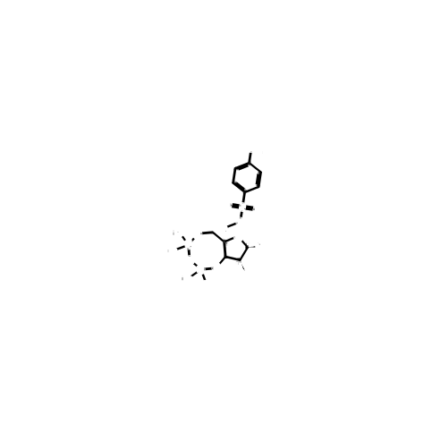 [3H][C@@H]1O[C@]2(COS(=O)(=O)c3ccc(C)cc3)CO[Si](C(C)C)(C(C)C)O[Si](C(C)C)(C(C)C)OC2[C@@H]1O